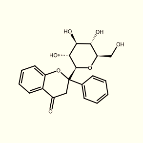 O=C1CC(c2ccccc2)([C@@H]2O[C@H](CO)[C@@H](O)[C@H](O)[C@H]2O)Oc2ccccc21